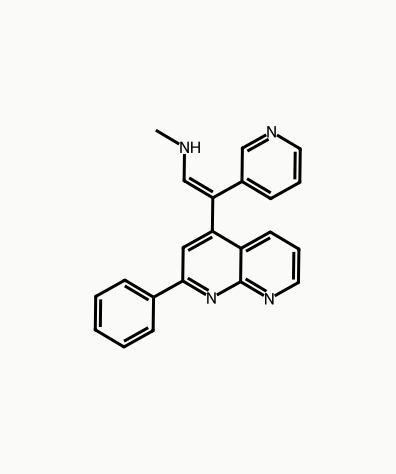 CN/C=C(\c1cccnc1)c1cc(-c2ccccc2)nc2ncccc12